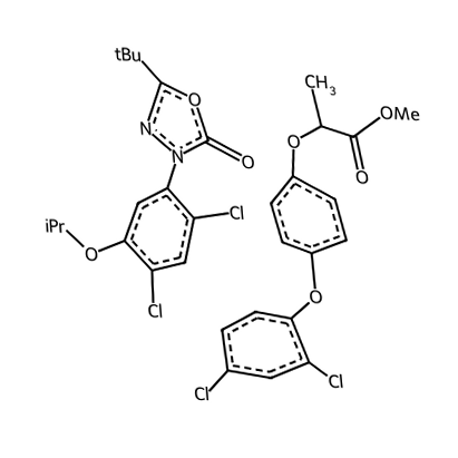 CC(C)Oc1cc(-n2nc(C(C)(C)C)oc2=O)c(Cl)cc1Cl.COC(=O)C(C)Oc1ccc(Oc2ccc(Cl)cc2Cl)cc1